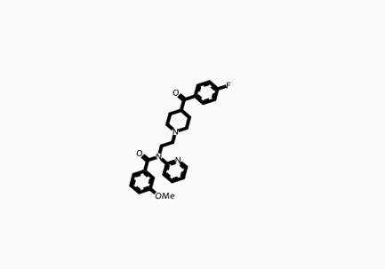 COc1cccc(C(=O)N(CCN2CCC(C(=O)c3ccc(F)cc3)CC2)c2ccccn2)c1